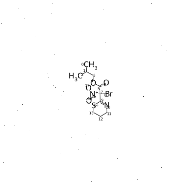 CC(C)COC(=O)C(Br)(C1=NCCCS1)[N+](=O)[O-]